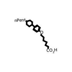 CCCCCC1CCC(c2ccc(OCCCCCCC(=O)O)cc2)CC1